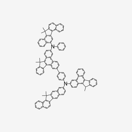 CC1c2ccccc2-c2c1c1ccc(N(c3ccc(-c4ccc5c(c4)c4c(c6ccc(N(c7ccccc7)c7cc8c(c9ccccc79)C(C)(C)c7ccc9ccccc9c7-8)cc65)C(C)(C)c5ccccc5-4)cc3)c3ccc4cc5c(cc4c3)C(C)(C)c3c-5ccc4ccccc34)cc1c1ccccc21